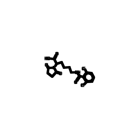 O=C(NCCCCC(C(=O)O)N1C(=O)CCC1=O)c1c(Cl)cccc1Cl